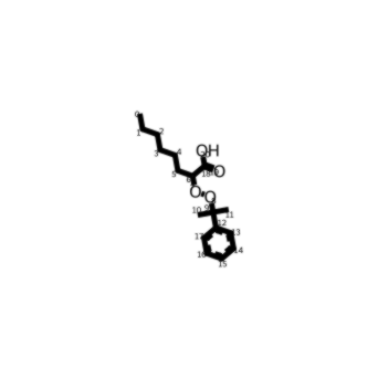 CCCCCCC(OOC(C)(C)c1ccccc1)C(=O)O